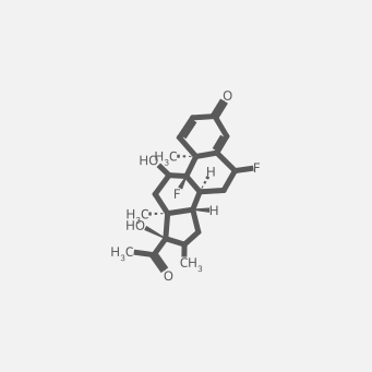 CC(=O)[C@@]1(O)C(C)C[C@H]2[C@@H]3CC(F)C4=CC(=O)C=C[C@]4(C)[C@@]3(F)C(O)C[C@@]21C